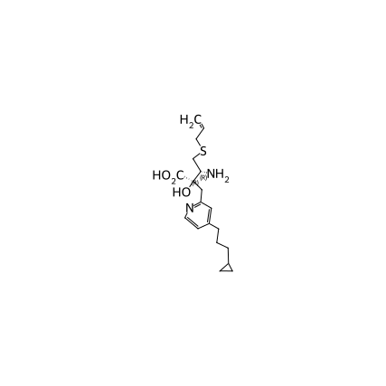 C=CCSC[C@H](N)[C@](O)(Cc1cc(CCCC2CC2)ccn1)C(=O)O